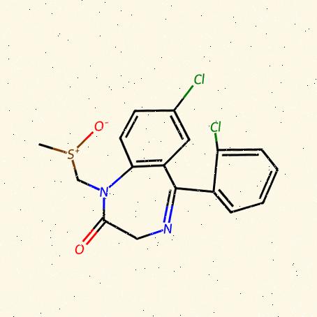 C[S+]([O-])CN1C(=O)CN=C(c2ccccc2Cl)c2cc(Cl)ccc21